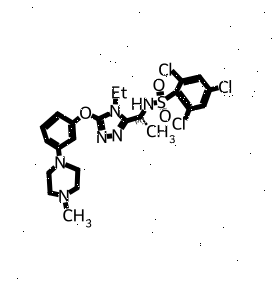 CCn1c(Oc2cccc(N3CCN(C)CC3)c2)nnc1[C@@H](C)NS(=O)(=O)c1c(Cl)cc(Cl)cc1Cl